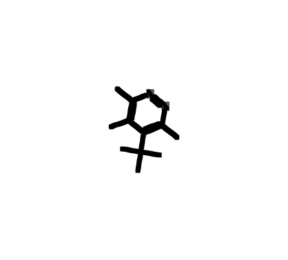 Cc1nnc(C)c(C(C)(C)C)c1C